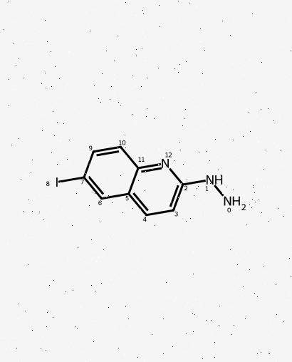 NNc1ccc2cc(I)ccc2n1